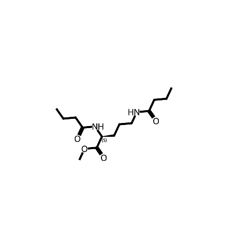 CCCC(=O)NCCC[C@H](NC(=O)CCC)C(=O)OC